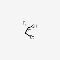 CCC[C@H](F)S